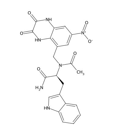 CC(=O)N(Cc1cc([N+](=O)[O-])cc2[nH]c(=O)c(=O)[nH]c12)[C@@H](Cc1c[nH]c2ccccc12)C(N)=O